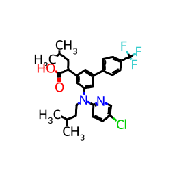 CC(C)CCN(c1cc(-c2ccc(C(F)(F)F)cc2)cc(C(CC(C)C)C(=O)O)c1)c1ccc(Cl)cn1